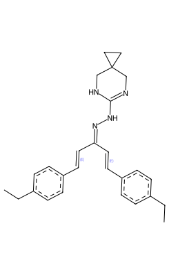 CCc1ccc(/C=C/C(/C=C/c2ccc(CC)cc2)=NNC2=NCC3(CC3)CN2)cc1